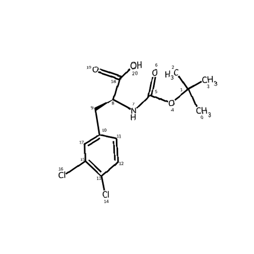 CC(C)(C)OC(=O)N[C@@H](Cc1ccc(Cl)c(Cl)c1)C(=O)O